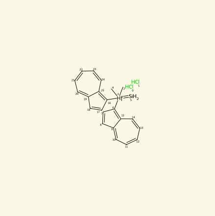 Cl.Cl.[CH3][Hf]([CH3])(=[SiH2])([c]1ccc2cccccc1-2)[c]1ccc2cccccc1-2